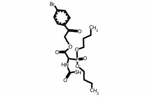 CCCCOP(=O)(OCCCC)C(NC(=O)S)C(=O)OCC(=O)c1ccc(Br)cc1